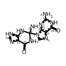 Nc1nc2c(ncn2C2(N)NC(=O)c3nc[nH]c3N2)c(=O)[nH]1